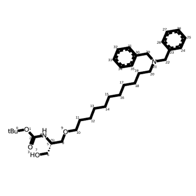 CC(C)(C)OC(=O)N[C@@H](CO)COCCCCCCCCCCCN(Cc1ccccc1)Cc1ccccc1